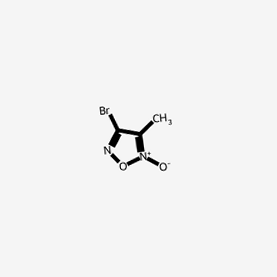 Cc1c(Br)no[n+]1[O-]